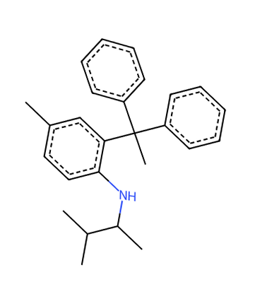 Cc1ccc(NC(C)C(C)C)c(C(C)(c2ccccc2)c2ccccc2)c1